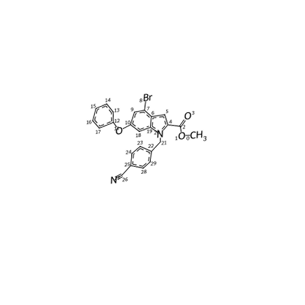 COC(=O)c1cc2c(Br)cc(Oc3ccccc3)cc2n1Cc1ccc(C#N)cc1